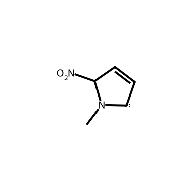 CN1[C]C=CC1[N+](=O)[O-]